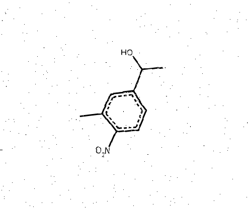 [CH2]C(O)c1ccc([N+](=O)[O-])c(C)c1